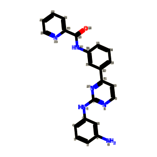 Nc1cccc(Nc2nccc(-c3cccc(NC(=O)c4ccccn4)c3)n2)c1